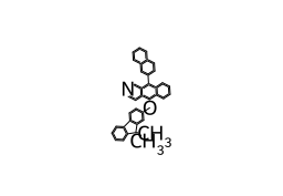 CC1(C)c2ccccc2-c2ccc(Oc3c4ccccc4c(-c4ccc5ccccc5c4)c4cnccc34)cc21